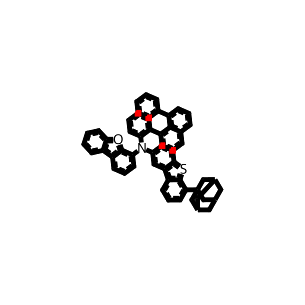 c1ccc(-c2cccc3cccc(-c4ccccc4N(c4ccc5sc6c(C78CC9CC(CC(C9)C7)C8)cccc6c5c4)c4cccc5c4oc4ccccc45)c23)cc1